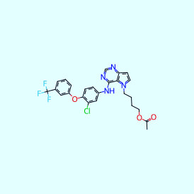 CC(=O)OCCCCn1ccc2ncnc(Nc3ccc(Oc4cccc(C(F)(F)F)c4)c(Cl)c3)c21